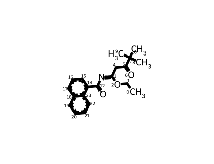 CCO/C(CC(=O)C(C)(C)C)=N\C(=O)c1cccc2ccccc12